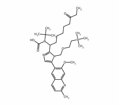 CCC(=O)CCCCCC(c1ncc(-c2cc3ccc(C)nc3cc2OC)n1COCC[Si](C)(C)C)N(C(=O)O)C(C)(C)C